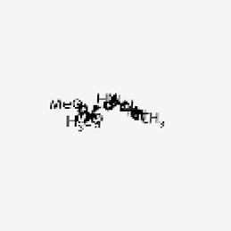 COc1ccc(N(C)C(=O)[C@@H]2C[C@H]2c2ccc3c(-c4ccc(N5CCN(C)CC5)nc4)n[nH]c3c2)c(C)c1